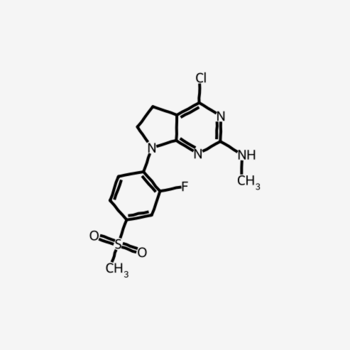 CNc1nc(Cl)c2c(n1)N(c1ccc(S(C)(=O)=O)cc1F)CC2